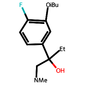 CCC(O)(CNC)c1ccc(F)c(OCC(C)C)c1